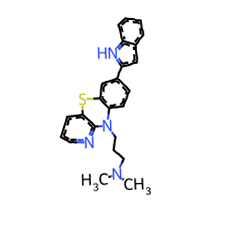 CN(C)CCCN1c2ccc(-c3cc4ccccc4[nH]3)cc2Sc2cccnc21